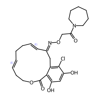 O=C1OCC/C=C/CC/C=C/C(=NOCC(=O)N2CCCCCC2)Cc2c(Cl)c(O)cc(O)c21